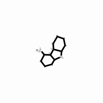 CC1CCCC2OC3CCCCC3C12